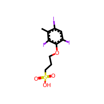 Cc1c(I)cc(I)c(OCCCS(=O)(=O)O)c1I